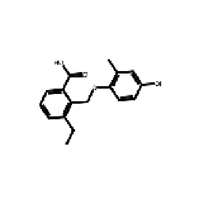 CCc1cccc(C(=O)O)c1COc1ccc(O)cc1C